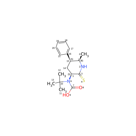 C[C@H]1NC(=S)[C@@H](N(C(=O)O)C(C)(C)C)C[C@H]1c1ccccc1